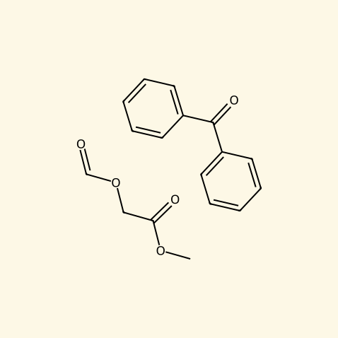 COC(=O)COC=O.O=C(c1ccccc1)c1ccccc1